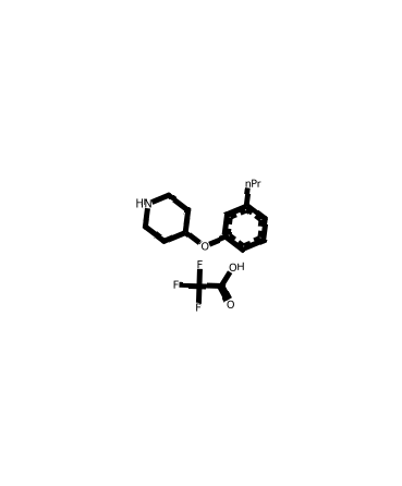 CCCc1cccc(OC2CCNCC2)c1.O=C(O)C(F)(F)F